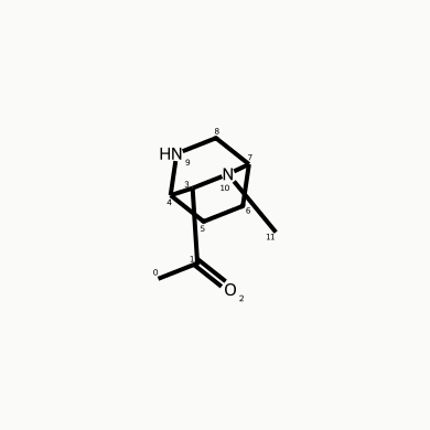 CC(=O)C1C2CCC(CN2)N1C